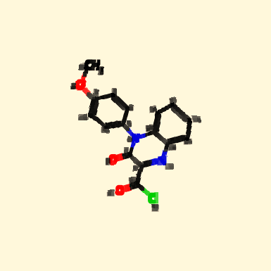 COc1ccc(-n2c(=O)c(C(=O)Cl)nc3ccccc32)cc1